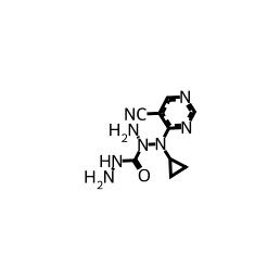 N#Cc1cncnc1N(C1CC1)N(N)C(=O)NN